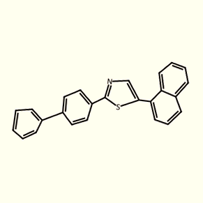 c1ccc(-c2ccc(-c3ncc(-c4cccc5ccccc45)s3)cc2)cc1